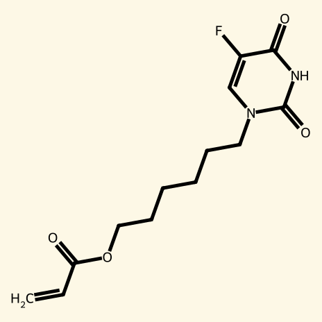 C=CC(=O)OCCCCCCn1cc(F)c(=O)[nH]c1=O